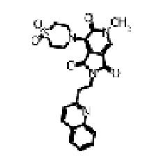 Cn1cc2c(c(N3CCS(=O)(=O)CC3)c1=O)C(=O)N(CCc1ccc3ccccc3n1)C2=O